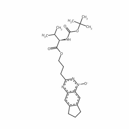 CC(C)[C@@H](NC(=O)OC(C)(C)C)C(=O)OCCCc1nc2cc3c(cc2[n+]([O-])n1)CCC3